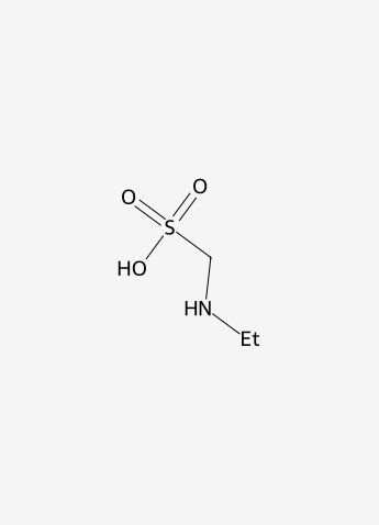 [CH2]CNCS(=O)(=O)O